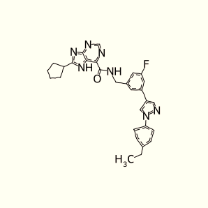 CCc1ccc(-n2cc(-c3cc(F)cc(CNC(=O)c4ncnc5nc(C6CCCC6)[nH]c45)c3)cn2)cc1